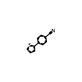 N#Cc1ccc(-c2cccs2)cc1